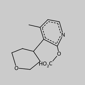 Cc1ccnc(OC(=O)O)c1C1CCOCC1